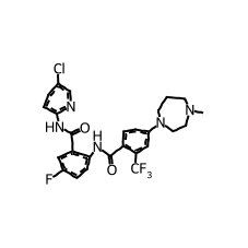 CN1CCCN(c2ccc(C(=O)Nc3ccc(F)cc3C(=O)Nc3ccc(Cl)cn3)c(C(F)(F)F)c2)CC1